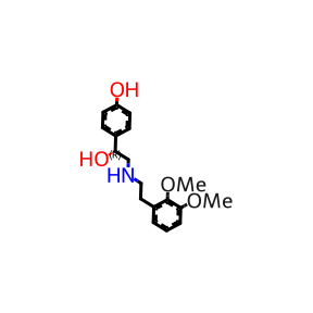 COc1cccc(CCNC[C@H](O)c2ccc(O)cc2)c1OC